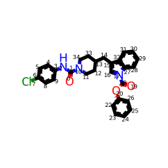 O=C(Nc1ccc(Cl)cc1)N1CCC(Cc2cn(C(=O)Oc3ccccc3)c3ccccc23)CC1